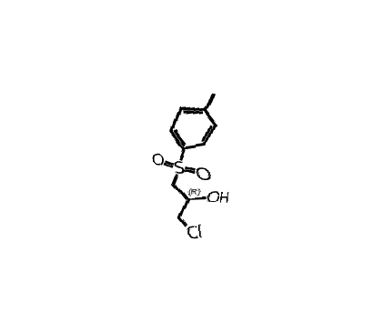 Cc1ccc(S(=O)(=O)C[C@@H](O)CCl)cc1